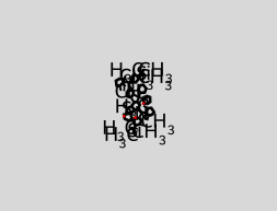 Cc1cccc(C)c1N(c1ccc([Si](C)(C)C)cc1)c1ccc2c(c1)C(c1ccccc1)(c1ccccc1)c1cc(N(c3ccc([Si](C)(C)C)cc3)c3c(C)cccc3C)c3c(sc4ccccc43)c1-2